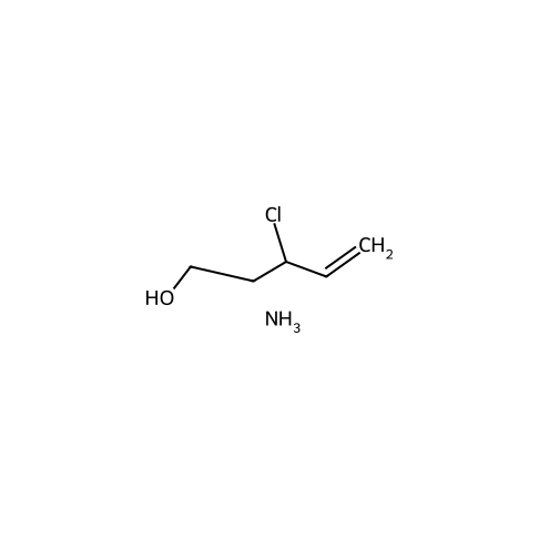 C=CC(Cl)CCO.N